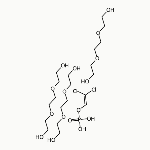 O=P(O)(O)OC=C(Cl)Cl.OCCOCCOCCO.OCCOCCOCCO.OCCOCCOCCO